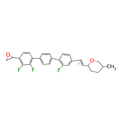 CC1CCC(/C=C/c2ccc(-c3ccc(-c4ccc(C5CO5)c(F)c4F)cc3)c(F)c2)OC1